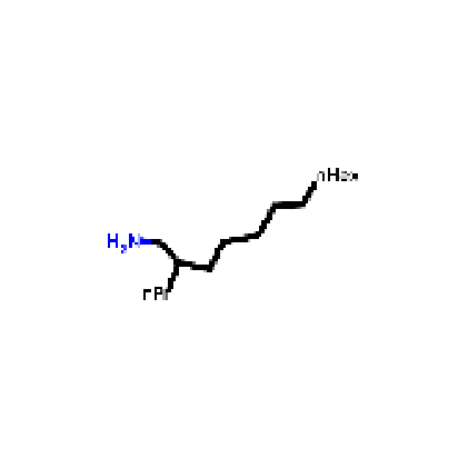 CCCCCCCCCCCC(CN)CCC